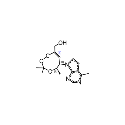 Cc1ncnc2c1ccn2[C@@H]1/C=C(/CO)COC(C)(C)O[C@@H]1C